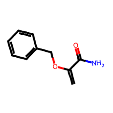 C=C(OCc1ccccc1)C(N)=O